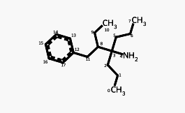 CCCC(N)(CCC)C(CC)Cc1ccccc1